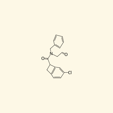 O=CCN(Cc1ccccc1)C(=O)C1Cc2ccc(Cl)cc21